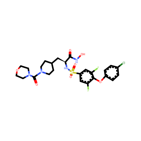 O=C(NO)[C@H](CC1CCN(C(=O)N2CCOCC2)CC1)NS(=O)(=O)c1cc(F)c(Oc2ccc(Cl)cc2)c(F)c1